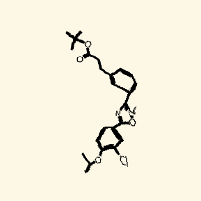 CC(C)Oc1ccc(-c2nc(-c3cccc(CCC(=O)OC(C)(C)C)c3)no2)cc1Cl